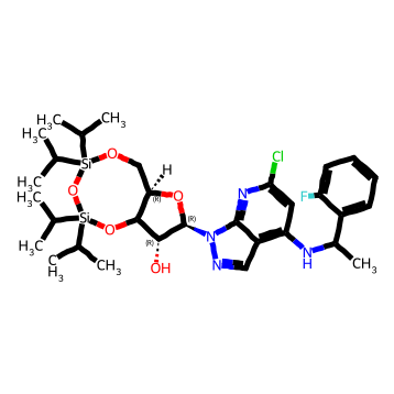 CC(Nc1cc(Cl)nc2c1cnn2[C@@H]1O[C@@H]2CO[Si](C(C)C)(C(C)C)O[Si](C(C)C)(C(C)C)OC2[C@H]1O)c1ccccc1F